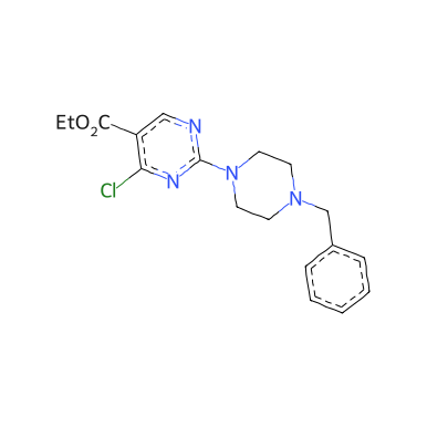 CCOC(=O)c1cnc(N2CCN(Cc3ccccc3)CC2)nc1Cl